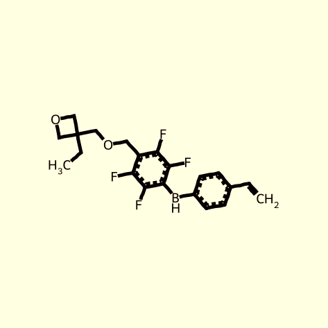 C=Cc1ccc(Bc2c(F)c(F)c(COCC3(CC)COC3)c(F)c2F)cc1